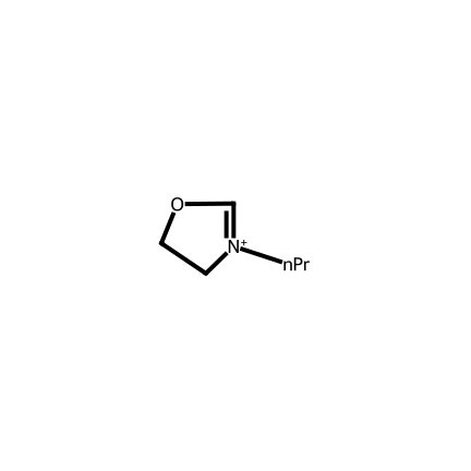 CCC[N+]1=COCC1